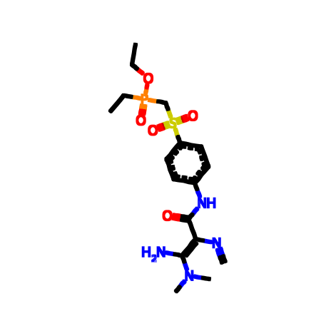 C=N/C(C(=O)Nc1ccc(S(=O)(=O)CP(=O)(CC)OCC)cc1)=C(/N)N(C)C